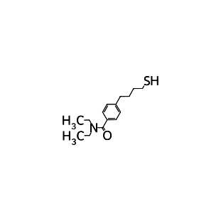 CCN(CC)C(=O)c1ccc(CCCCS)cc1